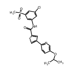 CC(C)Oc1ccc(-c2csc(C(=O)Nc3cc(Cl)cc(S(C)(=O)=O)c3)c2)nc1